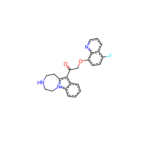 O=C(COc1ccc(F)c2cccnc12)c1c2n(c3ccccc13)CCNCC2